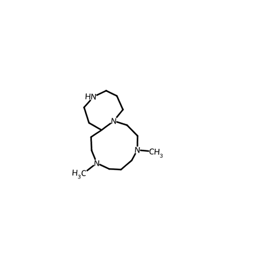 CN1CCCN(C)CCN2CCCNCCC2CC1